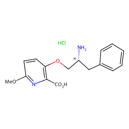 COc1ccc(OC[C@H](N)Cc2ccccc2)c(C(=O)O)n1.Cl